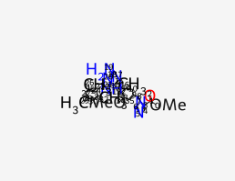 COC(=O)c1cncn1Cc1ccc(Cc2c(C)nc(N)nc2NCc2c(C)cc(C)cc2C)c(OC)c1